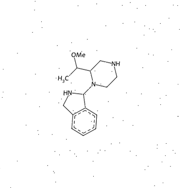 COC(C)C1CNCCN1[C]1NCc2ccccc21